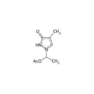 CC(=O)OC(C)n1cc(C)c(=O)[nH]1